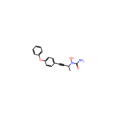 CC(C#Cc1ccc(Oc2ccccc2)cc1)N(O)C(N)=O